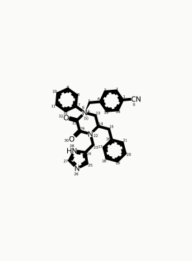 N#Cc1ccc(C[N@@+]2(c3ccccc3)CC(Cc3ccccc3)N(Cc3cnc[nH]3)C(=O)C2=O)cc1